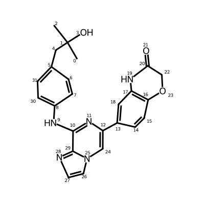 CC(C)(O)Cc1ccc(Nc2nc(-c3ccc4c(c3)NC(=O)CO4)cn3ccnc23)cc1